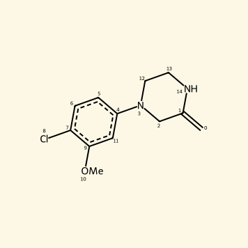 C=C1CN(c2ccc(Cl)c(OC)c2)CCN1